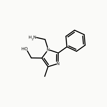 Cc1nc(-c2ccccc2)n(CN)c1CO